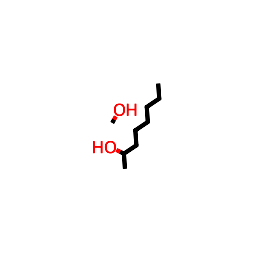 CCCCCCC(C)O.CO